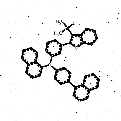 CC(C)(C)c1c(-c2cccc(N(c3ccc(-c4cccc5ccccc45)cc3)c3cccc4ccccc34)c2)oc2ccccc12